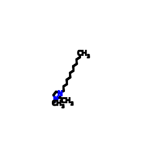 CCCCCCCCCCCCN1CCN(C)C1C